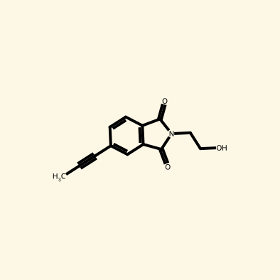 CC#Cc1ccc2c(c1)C(=O)N(CCO)C2=O